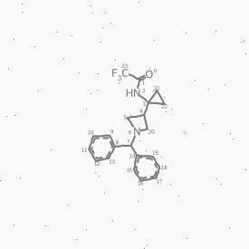 O=C(NC1(C2CN(C(c3ccccc3)c3ccccc3)C2)CC1)C(F)(F)F